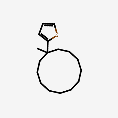 CC1(c2cccs2)CCCCCCCCCCC1